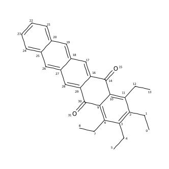 CCc1c(CC)c(CC)c2c(c1CC)C(=O)c1cc3cc4ccccc4cc3cc1C2=O